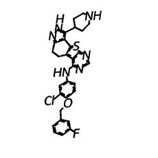 Fc1cccc(COc2ccc(Nc3ncnc4sc5c(c34)CCc3n[nH]c(C4CCNCC4)c3-5)cc2Cl)c1